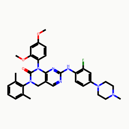 COc1ccc(N2C(=O)N(c3c(C)cccc3C)Cc3cnc(Nc4ccc(N5CCN(C)CC5)cc4F)nc32)c(OC)c1